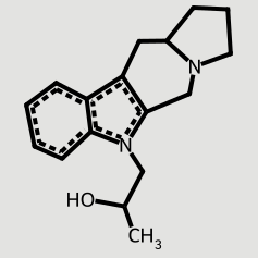 CC(O)Cn1c2c(c3ccccc31)CC1CCCN1C2